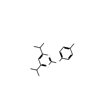 [CH2]c1ccc(Oc2nc(C(C)C)cc(C(C)C)n2)cc1